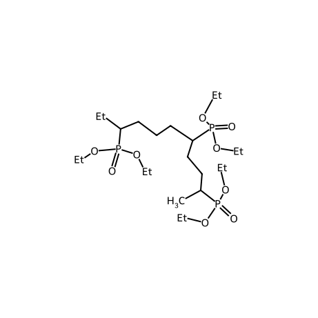 CCOP(=O)(OCC)C(C)CCC(CCCC(CC)P(=O)(OCC)OCC)P(=O)(OCC)OCC